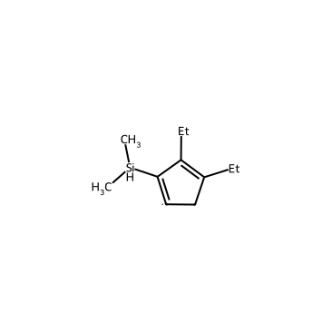 CCC1=C(CC)C([SiH](C)C)=[C]C1